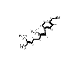 CC(C)=CCC/C(C)=C/c1ccc(CBr)cc1